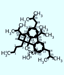 CCCCC1(C(OP(O)O)(c2ccc(CC(C)C)cc2CC(C)C)c2ccc(CC(C)C)cc2CC(C)C)CCC1